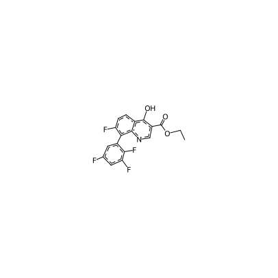 CCOC(=O)c1cnc2c(-c3cc(F)cc(F)c3F)c(F)ccc2c1O